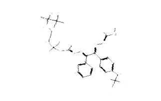 CN/C(S)=N/N=C(/C(=N/N=C(\S)NC(C)(C)CCOC(C)(N)C(C)(C)C)c1ccccc1)c1ccc(CC(F)(F)F)cc1